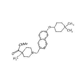 COC(=O)C1(C)CCN(Cc2ccc3cc(OC4CCC(C)(C)CC4)ccc3c2)CC1